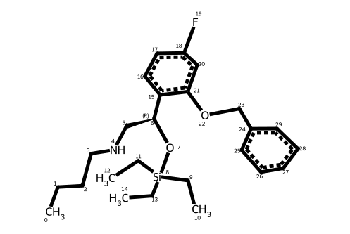 CCCCNC[C@H](O[Si](CC)(CC)CC)c1ccc(F)cc1OCc1ccccc1